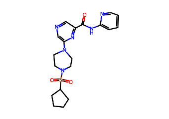 O=C(Nc1ccccn1)c1cncc(N2CCN(S(=O)(=O)C3CCCC3)CC2)n1